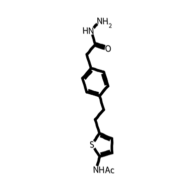 CC(=O)Nc1ccc(CCc2ccc(CC(=O)NN)cc2)s1